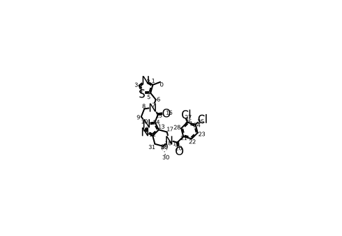 Cc1ncsc1CN1CCn2nc3c(c2C1=O)CN(C(=O)c1ccc(Cl)c(Cl)c1)[C@H](C)C3